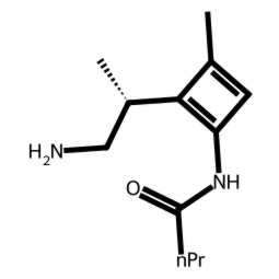 CCCC(=O)NC1=C([C@@H](C)CN)C(C)=C1